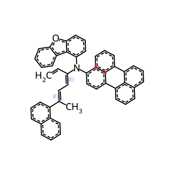 C=C/C(=C\C=C(/C)c1cccc2ccccc12)N(c1ccc(-c2cccc3cccc(-c4ccccc4)c23)cc1)c1cccc2oc3ccccc3c12